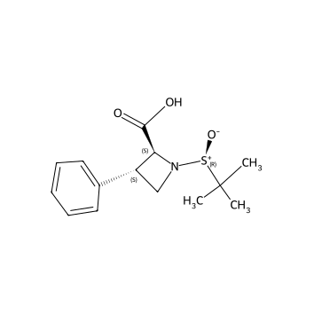 CC(C)(C)[S@+]([O-])N1C[C@H](c2ccccc2)[C@H]1C(=O)O